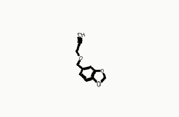 C#CCOCc1ccc2c(c1)OCO2